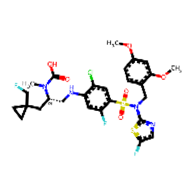 COc1ccc(CN(c2ncc(F)s2)S(=O)(=O)c2cc(Cl)c(NC[C@H](CC3(CF)CC3)N(C)C(=O)O)cc2F)c(OC)c1